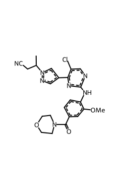 COc1cc(C(=O)N2CCOCC2)ccc1Nc1ncc(Cl)c(-c2cnn(C(C)CC#N)c2)n1